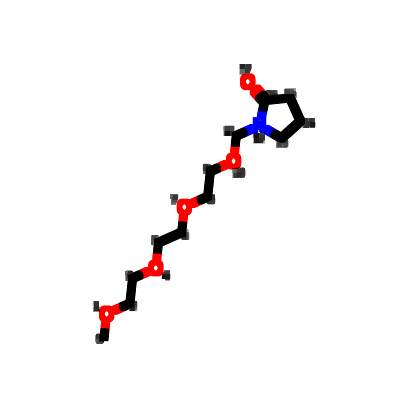 COCCOCCOCCOCN1CCCC1=O